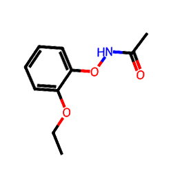 CCOc1ccccc1ONC(C)=O